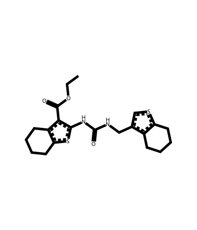 CCOC(=O)c1c(NC(=O)NCc2csc3c2CCCC3)sc2c1CCCC2